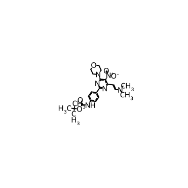 CN(C)/C=C/c1nc(-c2ccc(NC(=O)OC(C)(C)C)cc2)nc(N2CCOCC2)c1[N+](=O)[O-]